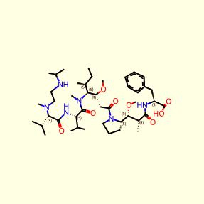 CC[C@H](C)[C@@H]([C@@H](CC(=O)N1CCC[C@H]1[C@H](OC)[C@@H](C)C(=O)N[C@@H](Cc1ccccc1)C(=O)O)OC)N(C)C(=O)[C@@H](NC(=O)[C@H](C(C)C)N(C)CCNC(C)C)C(C)C